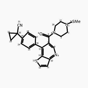 CSN1CCN(C(=O)c2cnc3ccsc3c2-c2ccc(C3(C#N)CC3)cc2)CC1